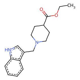 CCOC(=O)C1CCN(Cc2c[nH]c3ccccc23)CC1